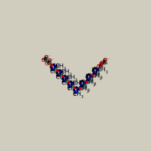 CN1CCC[N+](C)=C1F.CN1CCC[N+](C)=C1F.CN1CCC[N+](C)=C1F.CN1CCC[N+](C)=C1F.CN1CCC[N+](C)=C1F.CN1CCC[N+](C)=C1F.CN1CCC[N+](C)=C1F.CN1CCC[N+](C)=C1F.[O-]B([O-])F.[O-]B([O-])F.[O-]B([O-])F.[O-]B([O-])F